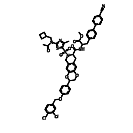 COC(=O)C(Cc1ccc(-c2ccc(C#N)cc2)cc1)NC(=O)C1Cc2cc3c(cc2CN1S(=O)(=O)c1sc(N(CC2CCC2)C(C)=O)nc1C)OC(c1ccc(OCc2ccc(Cl)c(Cl)c2)cc1)CO3